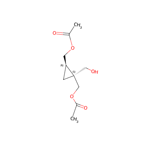 CC(=O)OC[C@@H]1C[C@]1(CO)COC(C)=O